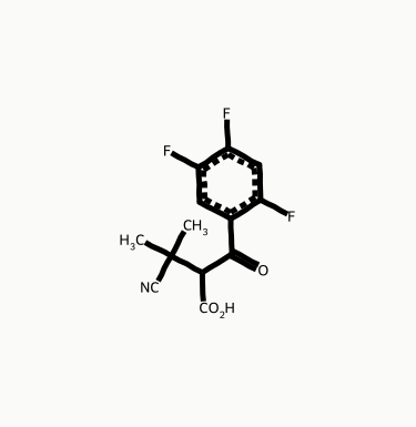 CC(C)(C#N)C(C(=O)O)C(=O)c1cc(F)c(F)cc1F